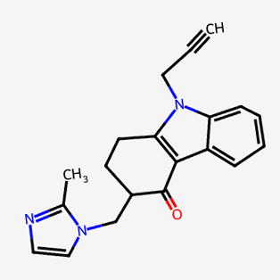 C#CCn1c2c(c3ccccc31)C(=O)C(Cn1ccnc1C)CC2